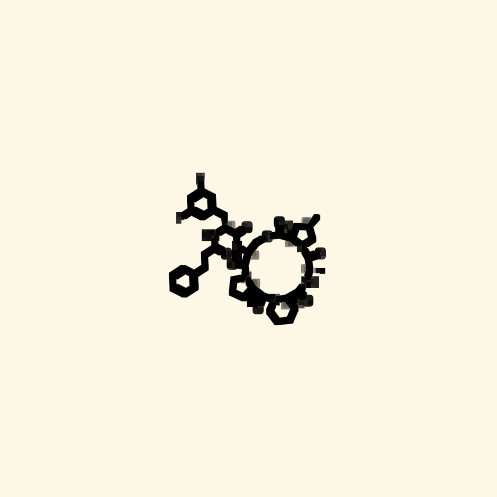 C[C@@H]1C[C@H]2C(=O)OC[C@H](NC(=O)[C@H](Cc3cc(F)cc(F)c3)NC(=O)CCc3ccccc3)C(=O)N3CCC[C@H]3C(=O)N3CCCC[C@H]3C(=O)N[C@@H](C)C(=O)N2C1